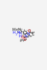 CNCC(NN)c1ccc2c(c1)N(C(=O)OC(C)C)C[C@H](C)N2C(=O)C1CC1